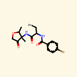 CC(C)CC(NC(=O)c1ccc(Br)cc1)C(=O)NC1(C)C(=O)COC1C